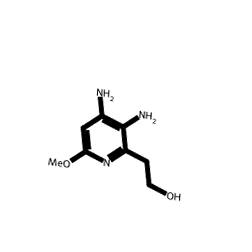 COc1cc(N)c(N)c(CCO)n1